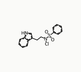 O=S(=O)(c1ccccc1)N(Cl)CCc1c[nH]c2ccccc12